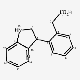 O=C(O)Cc1ccccc1C1CNc2ccccc21